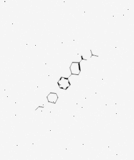 CCC[C@H]1CC[C@H](c2ccc(C3CC=C(C(=O)OC(C)C)CC3)cc2)CC1